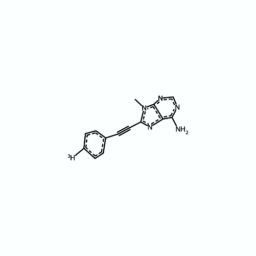 [3H]c1ccc(C#Cc2nc3c(N)ncnc3n2C)cc1